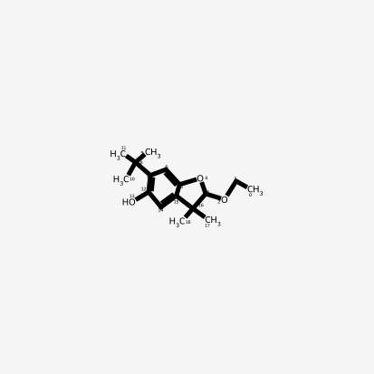 CCOC1Oc2cc(C(C)(C)C)c(O)cc2C1(C)C